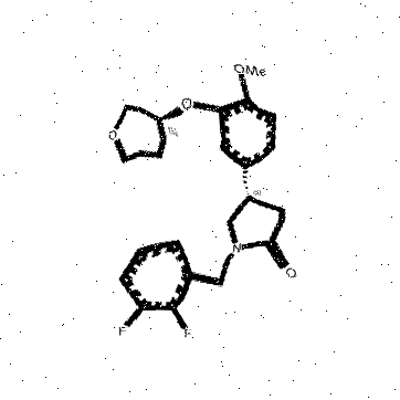 COc1ccc([C@@H]2CC(=O)N(Cc3cccc(F)c3F)C2)cc1O[C@H]1CCOC1